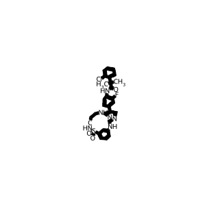 CC(C)(C(=O)Nc1ccc(-c2cnc3nc2NCCCNS(=O)(=O)c2cccc(c2)N3)cc1F)c1ccccc1Cl